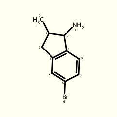 CC1Cc2cc(Br)ccc2C1N